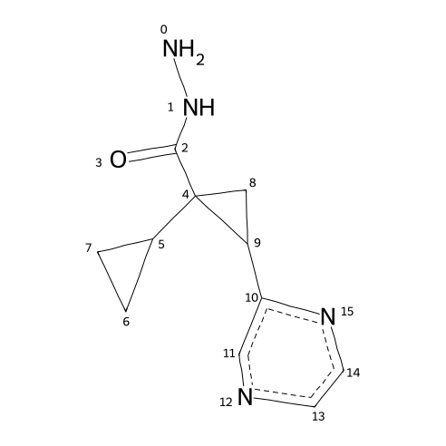 NNC(=O)C1(C2CC2)CC1c1cnccn1